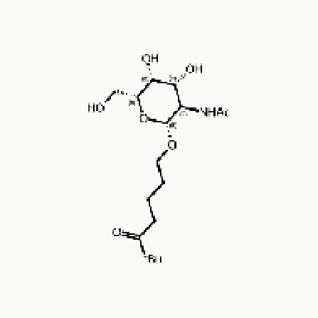 CC(=O)N[C@H]1[C@H](OCCCCC(=O)C(C)(C)C)O[C@H](CO)[C@H](O)[C@@H]1O